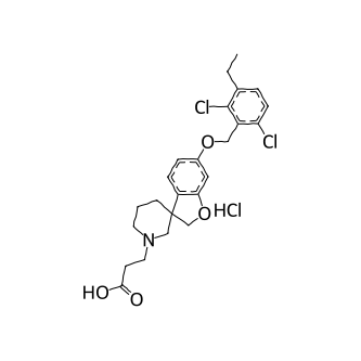 CCc1ccc(Cl)c(COc2ccc3c(c2)OCC32CCCN(CCC(=O)O)C2)c1Cl.Cl